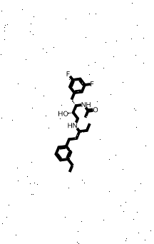 CCc1cccc(CCC(CC)NC[C@H](O)[C@H](Cc2cc(F)cc(F)c2)NC(C)=O)c1